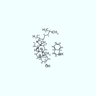 CC(C)CCC[C@@H](C)[C@H]1CC[C@H]2[C@@H]3CC=C4C[C@@H](O)CC[C@]4(C)[C@H]3CC[C@]12C.c1ccc2[nH]ccc2c1